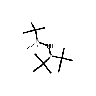 C[P@@](NP(C(C)(C)C)C(C)(C)C)C(C)(C)C